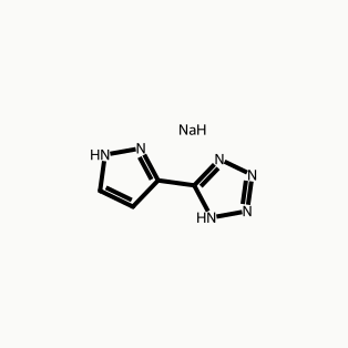 [NaH].c1cc(-c2nnn[nH]2)n[nH]1